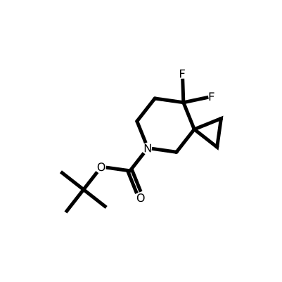 CC(C)(C)OC(=O)N1CCC(F)(F)C2(CC2)C1